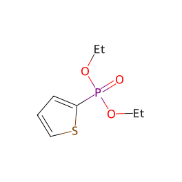 CCOP(=O)(OCC)c1cccs1